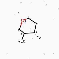 CC[C@H]1COCC[C@@H]1C